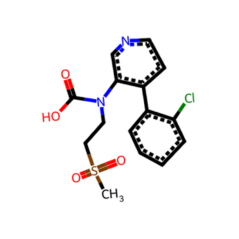 CS(=O)(=O)CCN(C(=O)O)c1cnccc1-c1ccccc1Cl